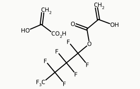 C=C(O)C(=O)O.C=C(O)C(=O)OC(F)(F)C(F)(F)C(F)(F)C(F)(F)F